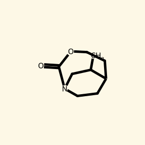 CC1CN2CCC1CCOC2=O